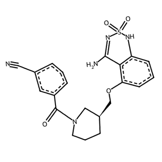 N#Cc1cccc(C(=O)N2CCC[C@H](COc3cccc4c3C(N)=NS(=O)(=O)N4)C2)c1